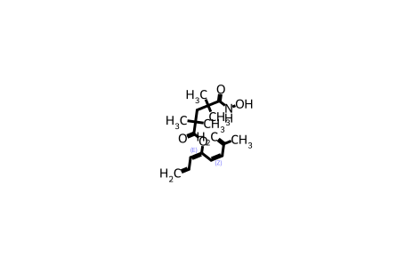 C=C/C=C(\C=C/C(=C)C)OC(=O)C(C)(C)CC(C)(C)C(=O)NO